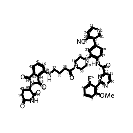 COc1cccc(F)c1-c1nccc(C(=O)Nc2ccc(-c3cnccc3C#N)cc2N2CCN(C(=O)CCCNc3cccc4c3C(=O)N(C3CCC(=O)NC3=O)C4=O)CC2)n1